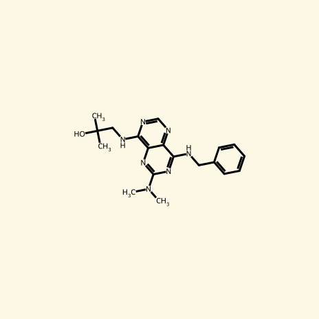 CN(C)c1nc(NCc2ccccc2)c2ncnc(NCC(C)(C)O)c2n1